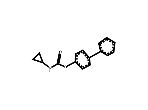 O=C(NC1CC1)Oc1ccc(-c2ccccc2)cc1